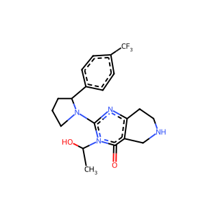 CC(O)n1c(N2CCCC2c2ccc(C(F)(F)F)cc2)nc2c(c1=O)CNCC2